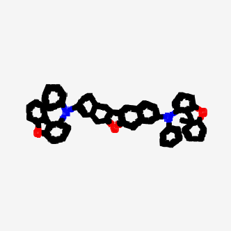 CC12C=CC=CC1Oc1cccc(N(c3ccccc3)c3ccc4cc5c6c(oc5cc4c3)CC3C=C(N(c4ccccc4)c4cccc5oc7ccccc7c45)C=CC3=C6)c12